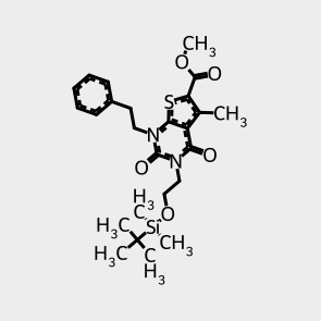 COC(=O)c1sc2c(c1C)c(=O)n(CCO[Si](C)(C)C(C)(C)C)c(=O)n2CCc1ccccc1